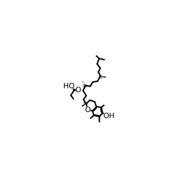 CCC(=O)O.Cc1c(C)c2c(c(C)c1O)CC[C@@](C)(CCC[C@H](C)CCC[C@H](C)CCCC(C)C)O2